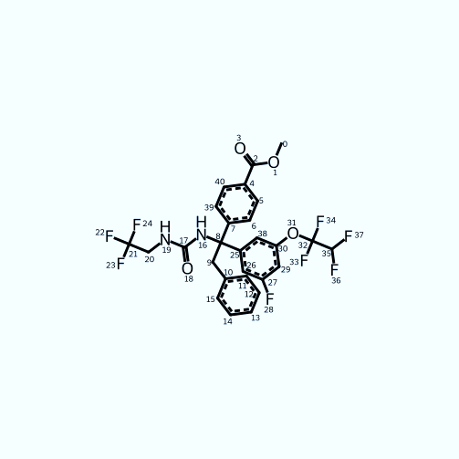 COC(=O)c1ccc(C(Cc2ccccc2)(NC(=O)NCC(F)(F)F)c2cc(F)cc(OC(F)(F)C(F)F)c2)cc1